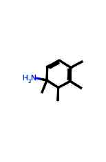 CC1=C(C)C(C)C(C)(N)C=C1